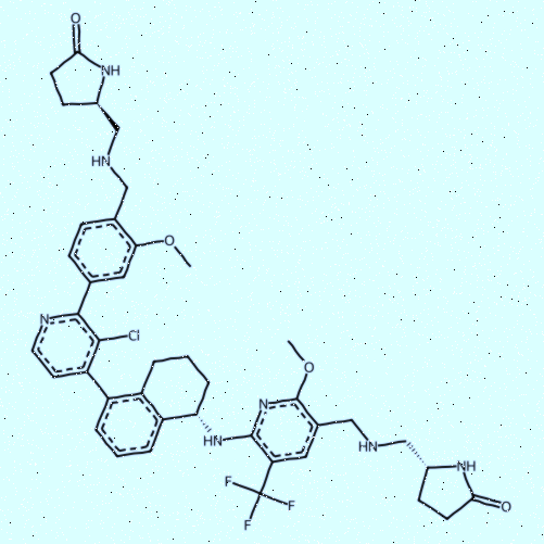 COc1cc(-c2nccc(-c3cccc4c3CCC[C@@H]4Nc3nc(OC)c(CNC[C@H]4CCC(=O)N4)cc3C(F)(F)F)c2Cl)ccc1CNC[C@H]1CCC(=O)N1